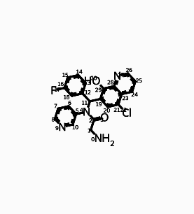 NCC(=O)N(c1cccnc1)C(c1cccc(F)c1)c1cc(Cl)c2cccnc2c1O